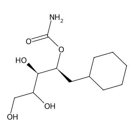 NC(=O)O[C@@H](CC1CCCCC1)[C@H](O)C(O)CO